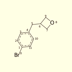 Brc1ccc(CC2COC2)cc1